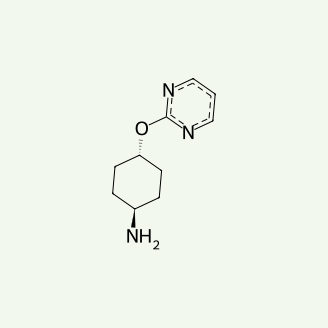 N[C@H]1CC[C@H](Oc2ncccn2)CC1